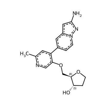 Cc1cc(-c2ccn3nc(N)cc3c2)c(OC[C@H]2OCC[C@@H]2O)cn1